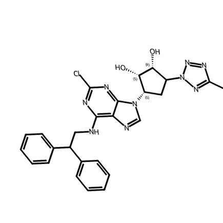 CCc1nnn(C2C[C@H](n3cnc4c(NCC(c5ccccc5)c5ccccc5)nc(Cl)nc43)[C@H](O)[C@@H]2O)n1